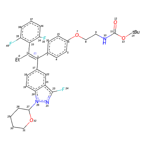 CC/C(=C(/c1ccc(OCCNC(=O)OC(C)(C)C)cc1)c1ccc2c(c1)c(F)nn2C1CCCCO1)c1c(F)cccc1F